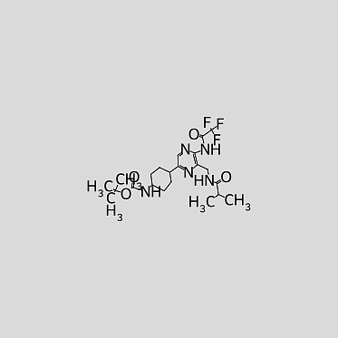 CC(C)C(=O)NCc1nc(C2CCC(NC(=O)OC(C)(C)C)CC2)cnc1NC(=O)C(F)(F)F